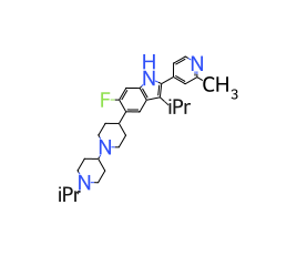 Cc1cc(-c2[nH]c3cc(F)c(C4CCN(C5CCN(C(C)C)CC5)CC4)cc3c2C(C)C)ccn1